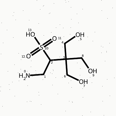 NCC(C(CO)(CO)CO)S(=O)(=O)O